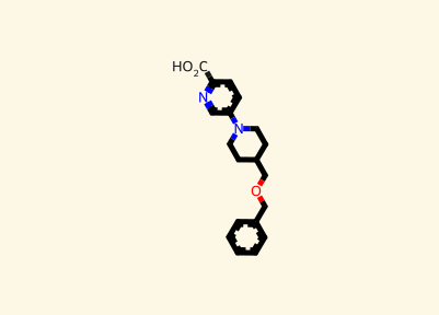 O=C(O)c1ccc(N2CCC(COCc3ccccc3)CC2)cn1